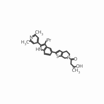 Cc1cc(-c2[nH]c3ccc(-c4cc5c(s4)CN(C(=O)C[C@H](C)O)CC5)cc3c2C(C)C)cc(C)n1